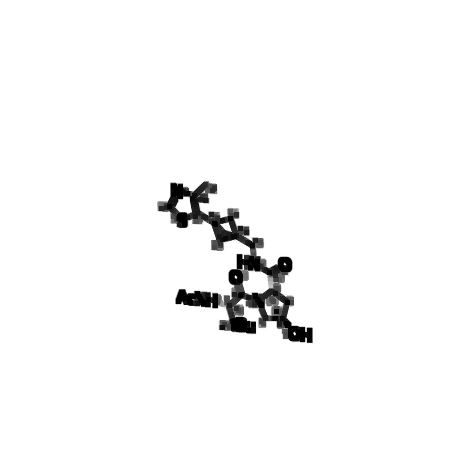 CC(=O)N[C@H](C(=O)N1C[C@H](O)C[C@H]1C(=O)NCC12CC(c3scnc3C)(C1)C2)C(C)(C)C